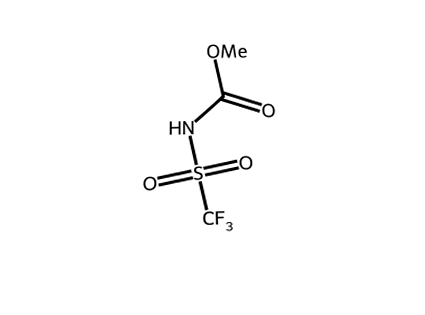 COC(=O)NS(=O)(=O)C(F)(F)F